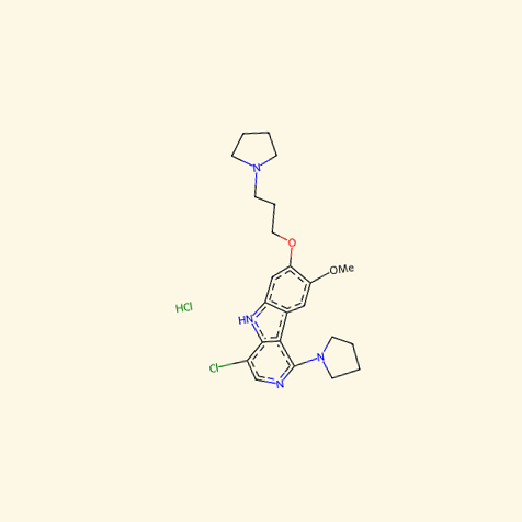 COc1cc2c(cc1OCCCN1CCCC1)[nH]c1c(Cl)cnc(N3CCCC3)c12.Cl